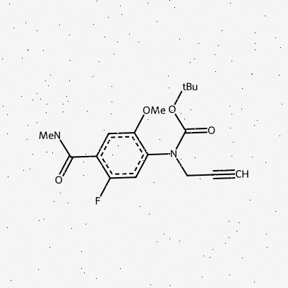 C#CCN(C(=O)OC(C)(C)C)c1cc(F)c(C(=O)NC)cc1OC